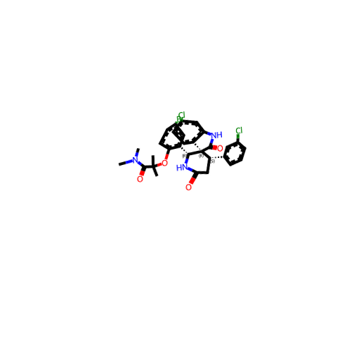 CN(C)C(=O)C(C)(C)Oc1ccc(Br)cc1[C@H]1NC(=O)C[C@@H](c2cccc(Cl)c2)[C@]12C(=O)Nc1cc(Cl)ccc12